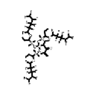 C=C(C)C(=O)C(CC)[Si](O[Si](C)(C)C(CC)OC(F)C(F)(F)C(F)(F)C(F)C(F)F)(O[Si](C)(C)C(CC)OC(F)C(F)(F)C(F)(F)C(F)C(F)F)O[Si](C)(C)C(CC)OC(F)C(F)(F)C(F)(F)C(F)C(F)F